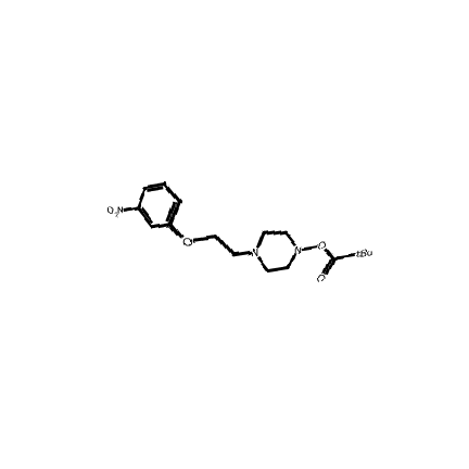 CC(C)(C)C(=O)ON1CCN(CCOc2cccc([N+](=O)[O-])c2)CC1